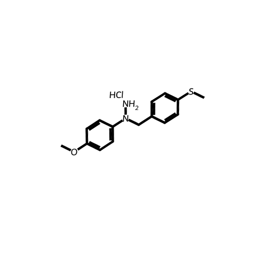 COc1ccc(N(N)Cc2ccc(SC)cc2)cc1.Cl